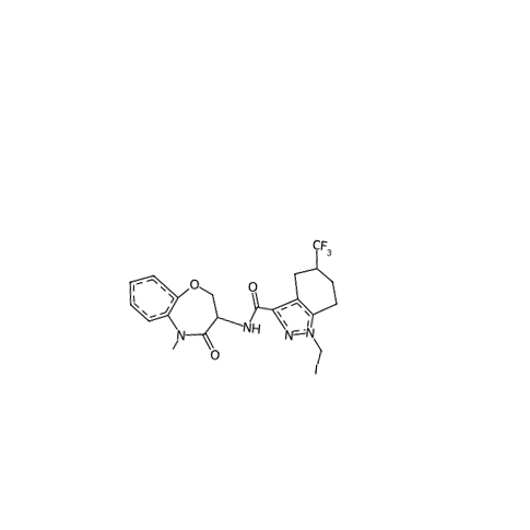 CN1C(=O)C(NC(=O)c2nn(CI)c3c2CC(C(F)(F)F)CC3)COc2ccccc21